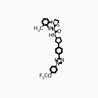 Cc1cccc(N2CCS/C2=N\C(=O)NC2CCC(c3ccc(-c4ncn(-c5ccc(OC(F)(F)F)cc5)n4)cc3)C2)c1C(C)C